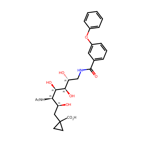 CC(=O)N[C@@H]([C@@H](O)[C@H](O)[C@H](O)CNC(=O)c1cccc(Oc2ccccc2)c1)[C@@H](O)CC1(C(=O)O)CC1